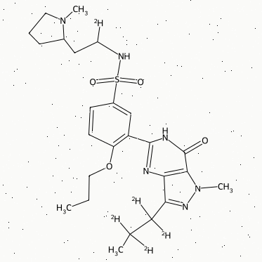 [2H]C(CC1CCCN1C)NS(=O)(=O)c1ccc(OCCC)c(-c2nc3c(C([2H])([2H])C([2H])([2H])C)nn(C)c3c(=O)[nH]2)c1